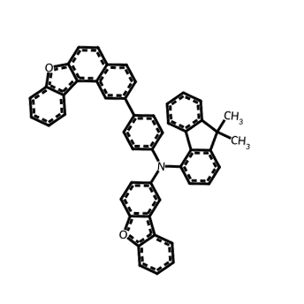 CC1(C)c2ccccc2-c2c(N(c3ccc(-c4ccc5ccc6oc7ccccc7c6c5c4)cc3)c3ccc4oc5ccccc5c4c3)cccc21